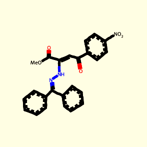 COC(=O)C(=CC(=O)c1ccc([N+](=O)[O-])cc1)NN=C(c1ccccc1)c1ccccc1